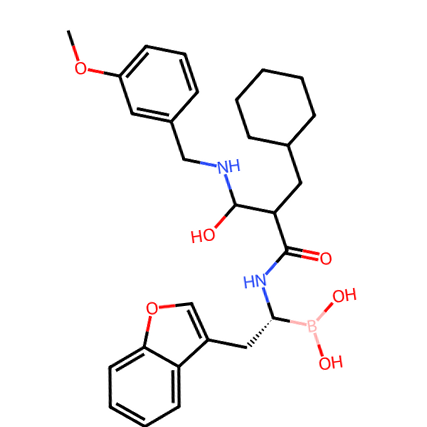 COc1cccc(CNC(O)C(CC2CCCCC2)C(=O)N[C@@H](Cc2coc3ccccc23)B(O)O)c1